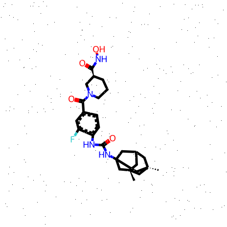 C[C@]12CC3CC(NC(=O)Nc4ccc(C(=O)N5CCC[C@H](C(=O)NO)C5)cc4F)(C1)C[C@@](C)(C3)C2